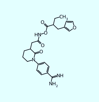 CCC(Cc1ccoc1)C(=O)ONC(=O)CC1CCCN(c2ccc(C(=N)N)cc2)C1=O